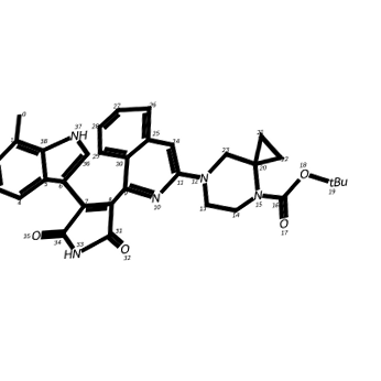 Cc1cccc2c(C3=C(c4nc(N5CCN(C(=O)OC(C)(C)C)C6(CC6)C5)cc5ccccc45)C(=O)NC3=O)c[nH]c12